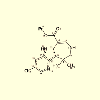 CC(C)OC(=O)C1=CNCC(C)(C)c2c1[nH]c1cc(Cl)cnc21